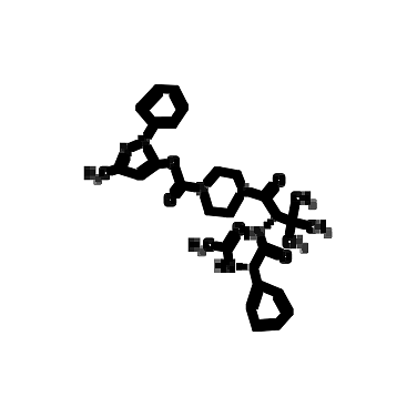 CC(=O)N[C@H](C(=O)N[C@H](C(=O)N1CCN(C(=O)Oc2cc(C)nn2-c2ccccc2)CC1)C(C)(C)C)c1ccccc1